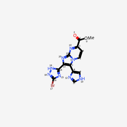 COC(=O)c1ccn2c(-c3c[nH]cn3)c(-c3nc(Br)n[nH]3)nc2n1